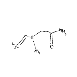 C=CN(N)CC(N)=O